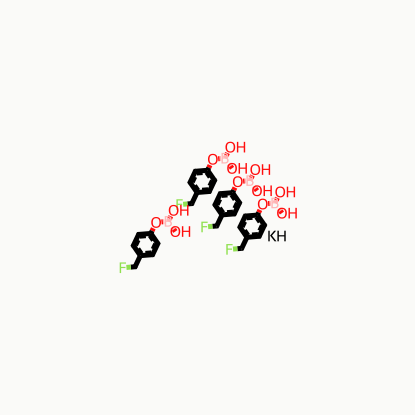 OB(O)Oc1ccc(CF)cc1.OB(O)Oc1ccc(CF)cc1.OB(O)Oc1ccc(CF)cc1.OB(O)Oc1ccc(CF)cc1.[KH]